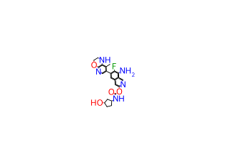 Cc1c(-c2cc3cc(OC(=O)NC4CCC(O)C4)ncc3c(N)c2F)cnc2c1NCCO2